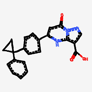 O=C(O)c1cnn2c(=O)cc(-c3ccc(C4(c5ccccc5)CC4)cc3)[nH]c12